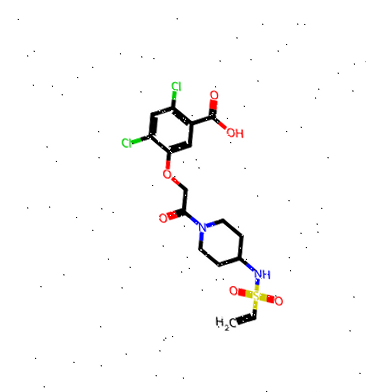 C=CS(=O)(=O)NC1CCN(C(=O)COc2cc(C(=O)O)c(Cl)cc2Cl)CC1